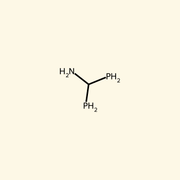 NC(P)P